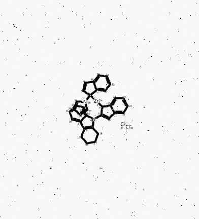 C1=C[C]([Zr+2][CH]2C(n3c4c(c5ccccc53)CCCC4)=Cc3ccccc32)(n2cccc2)c2ccccc21.[Cl-].[Cl-]